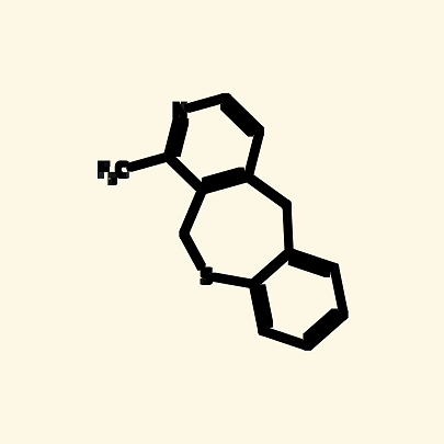 FC(F)(F)c1nccc2c1CSc1ccccc1C2